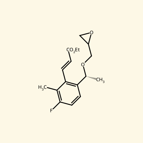 CCOC(=O)/C=C/c1c([C@@H](C)OCC2CO2)ccc(F)c1C